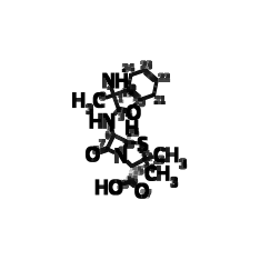 CC(N)(C(=O)N[C@@H]1C(=O)N2[C@@H]1SC(C)(C)[C@@H]2C(=O)O)C1=CCC=CC1